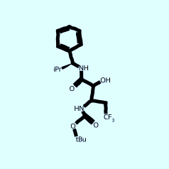 CC(C)[C@H](NC(=O)C(O)C(CC(F)(F)F)NC(=O)OC(C)(C)C)c1ccccc1